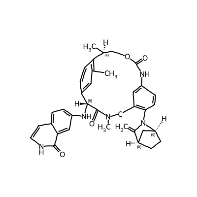 C=C1[C@@H]2CC[C@@H](C2)N1c1ccc2cc1CN(C)C(=O)[C@H](Nc1ccc3cc[nH]c(=O)c3c1)c1ccc(c(C)c1)[C@@H](C)COC(=O)N2